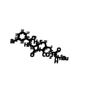 CCCCNC(=O)SCC1=C(C(=O)O)N2C(=O)C(NC(=O)c3cccc(Br)c3)[C@@H]2SC1